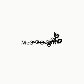 COCCOCCOCCOC(=O)C(C)(C)c1nc(-c2ccccc2)c(-c2cccnc2)o1